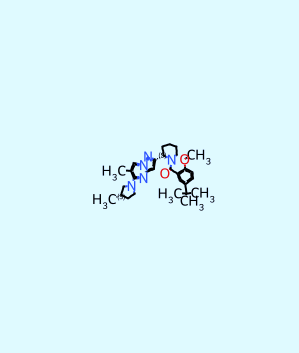 COc1ccc(C(C)(C)C)cc1C(=O)N1CCCC[C@H]1c1cc2nc(N3CC[C@H](C)C3)c(C)cn2n1